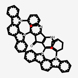 O=C1C2=C(NCC=C2n2c3ccccc3c3ccc4c5ccccc5n(C5=CC=CCC5)c4c32)c2nccc(-n3c4ccccc4c4ccc5c6ccccc6n(-c6ccccc6)c5c43)c21